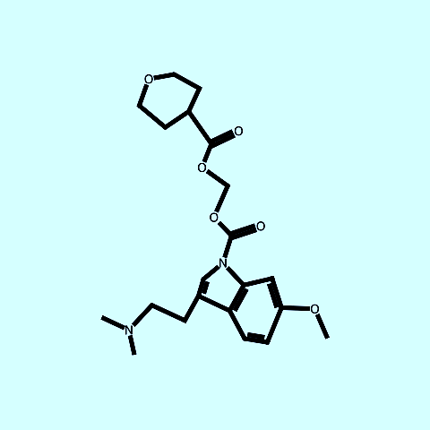 COc1ccc2c(CCN(C)C)cn(C(=O)OCOC(=O)C3CCOCC3)c2c1